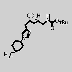 CC(C)(C)OC(=O)NCCC[C@H](Cc1cn([C@H]2CC[C@H](C)CC2)cn1)C(=O)O